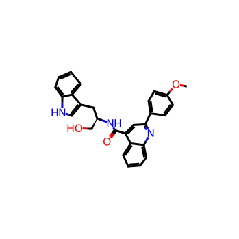 COc1ccc(-c2cc(C(=O)N[C@@H](CO)Cc3c[nH]c4ccccc34)c3ccccc3n2)cc1